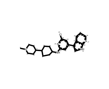 CN1CCC(C2CCC(Nc3cc(-c4c[nH]c5ncccc45)cc(Cl)n3)CC2)CC1